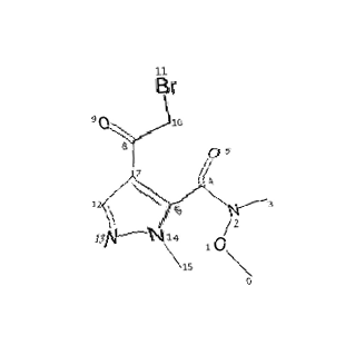 CON(C)C(=O)c1c(C(=O)CBr)cnn1C